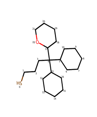 SCCCC(C1CCCCC1)(C1CCCCC1)C1CCCCO1